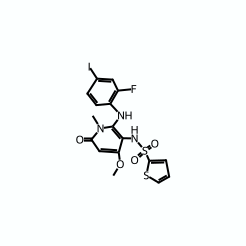 COc1cc(=O)n(C)c(Nc2ccc(I)cc2F)c1NS(=O)(=O)c1cccs1